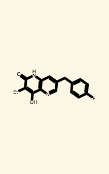 [CH2]Cc1c(O)c2ncc(Cc3ccc(F)cc3)cc2[nH]c1=O